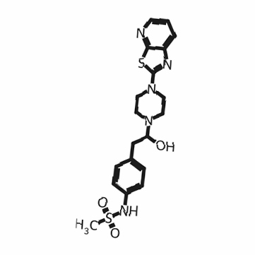 CS(=O)(=O)Nc1ccc(CC(O)N2CCN(c3nc4cccnc4s3)CC2)cc1